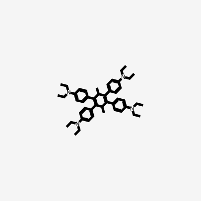 CCN(CC)c1ccc(C2=C(c3ccc(N(CC)CC)cc3)[C](C)C(c3ccc(N(CC)CC)cc3)=C(c3ccc(N(CC)CC)cc3)[C]2C)cc1